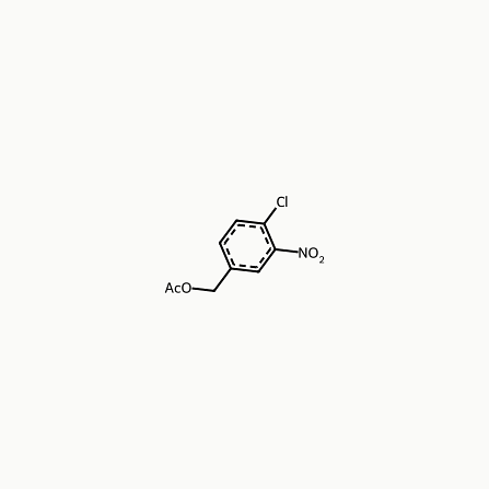 CC(=O)OCc1ccc(Cl)c([N+](=O)[O-])c1